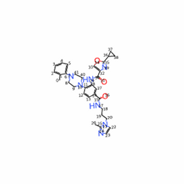 Cc1ccccc1N1CCN(c2ccc(C(=O)NCCCn3ccnc3C)cc2NC(=O)c2coc(C3CC3)n2)CC1